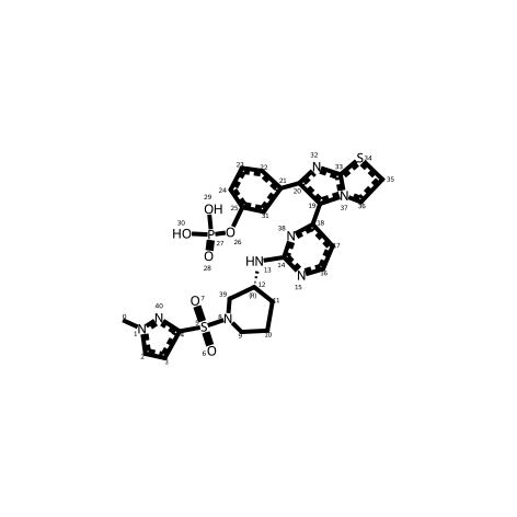 Cn1ccc(S(=O)(=O)N2CCC[C@@H](Nc3nccc(-c4c(-c5cccc(OP(=O)(O)O)c5)nc5sccn45)n3)C2)n1